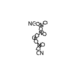 N#Cc1ccc2c(c1)c1ccccc1n2-c1ccc2oc3ccc(-n4c5ccccc5c5cc6c(cc54)c4cc(C#N)ccc4n6-c4ccccc4)cc3c2c1